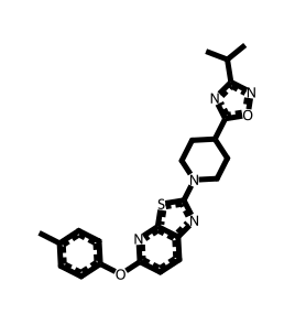 Cc1ccc(Oc2ccc3nc(N4CCC(c5nc(C(C)C)no5)CC4)sc3n2)cc1